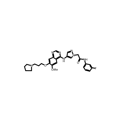 COc1cc2c(Nc3cnn(CC(=O)Nc4cccc(F)c4)c3)ncnc2cc1OCCCN1CCCC1